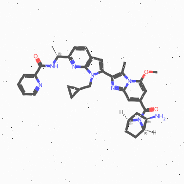 COc1cc(C(=O)N2[C@H]3CC[C@@H]2[C@H](N)C3)cc2nc(-c3cc4ccc([C@@H](C)NC(=O)c5ccccn5)nc4n3CC3CC3)c(C)n12